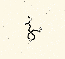 COC(=O)CCC1(CNCl)CCOCC1